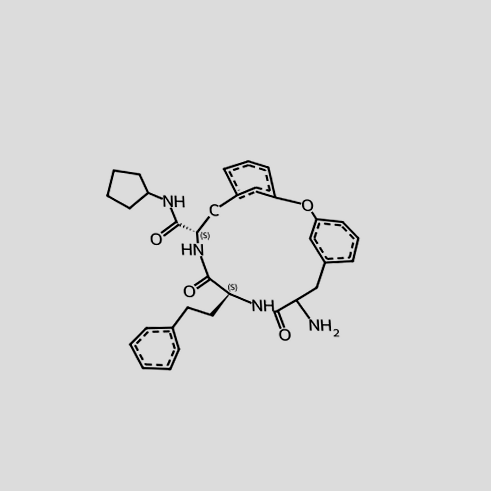 NC1Cc2cccc(c2)Oc2cccc(c2)C[C@@H](C(=O)NC2CCCC2)NC(=O)[C@H](CCc2ccccc2)NC1=O